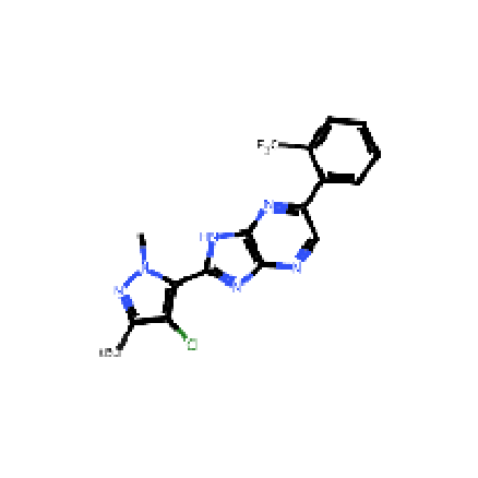 Cn1nc(C(C)(C)C)c(Cl)c1-c1nc2ncc(-c3ccccc3C(F)(F)F)nc2[nH]1